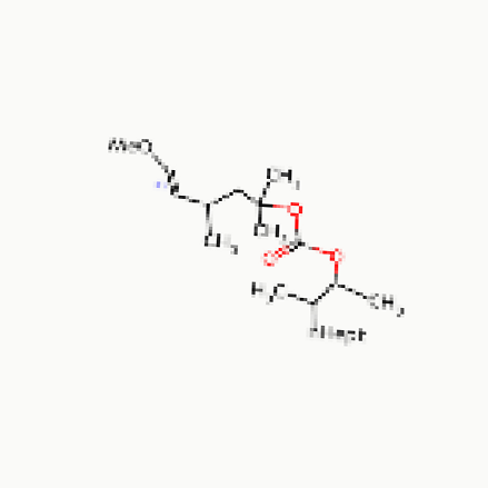 CCCCCCCC(C)C(C)OC(=O)OC(C)(C)CC(C)/C=C/OC